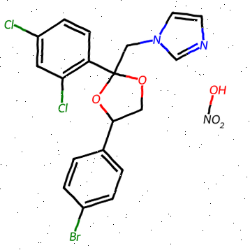 Clc1ccc(C2(Cn3ccnc3)OCC(c3ccc(Br)cc3)O2)c(Cl)c1.O=[N+]([O-])O